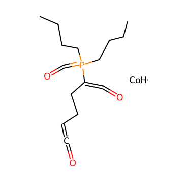 CCCCP(=C=O)(CCCC)C(=C=O)CCC=C=O.[CoH]